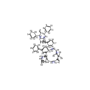 C=C/C(=C\C(=C/Cc1ccccc1)Nc1ccccc1-c1cc(-c2ccccc2)cc2c1/C=C\C=C(/C)C(C)(C)C(=C)/C=C\CCN2/C=C\BC)C1=CC=CCC1